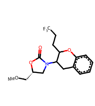 COC[C@H]1CN(C2Cc3ccccc3OC2CCC(F)(F)F)C(=O)O1